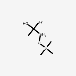 CC(C)C(C)(O)[SiH2]O[Si](C)(C)C